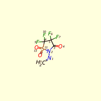 C=NN1C(=O)C(F)(F)C(F)(F)S1(=O)=O